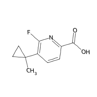 CC1(c2ccc(C(=O)O)nc2F)CC1